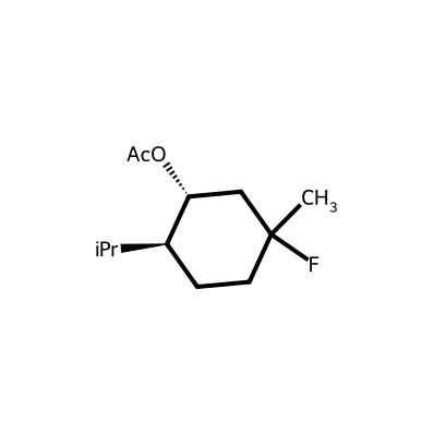 CC(=O)O[C@@H]1CC(C)(F)CC[C@H]1C(C)C